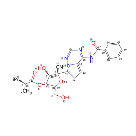 CC(C)[C@H](C)C(=O)O[C@H]1[C@@H](O)[C@](C#N)(c2ccc3c(NC(=O)c4ccccc4)ncnn23)O[C@@H]1CO